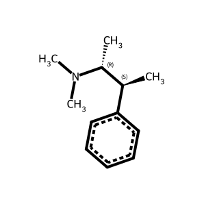 C[C@H]([C@@H](C)c1ccccc1)N(C)C